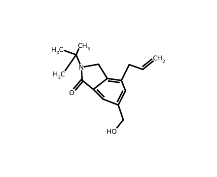 C=CCc1cc(CO)cc2c1CN(C(C)(C)C)C2=O